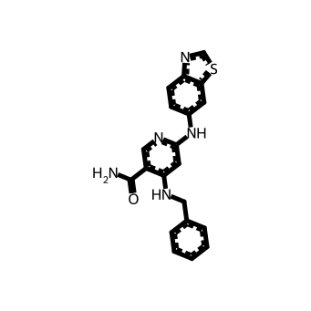 NC(=O)c1cnc(Nc2ccc3ncsc3c2)cc1NCc1ccccc1